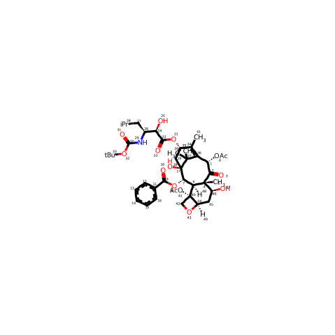 CC(=O)O[C@@H]1C(=O)[C@@]2(C)[C@H]([C@H](OC(=O)c3ccccc3)[C@]3(O)C[C@H](OC(=O)[C@H](O)[C@H](CC(C)C)NC(=O)OC(C)(C)C)C(C)=C1C3(C)C)[C@]1(OC(C)=O)CO[C@@H]1C[C@@H]2O